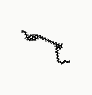 CCCCC/C=C\C/C=C\CCCCCCCCOCC(CN1CCCC1C)OCCOCCOCCOCCO[C@H]1CC[C@@]2(C)C(=CC[C@H]3C4CCC([C@H](C)CCCC(C)C)[C@@]4(C)CCC32)C1